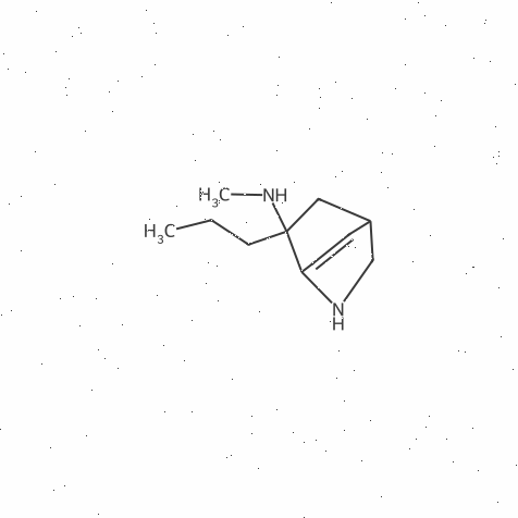 CCCC1(NC)CC2C=CC1NC2